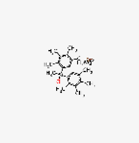 Cc1cc([Si](C)([O-])c2cc(C)c(C)c(C)c2C)c(C)c(C)c1C.[Br-].[Mg+2]